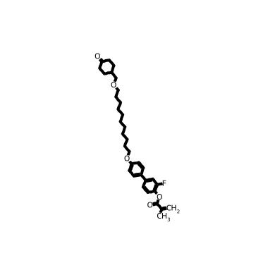 C=C(C)C(=O)Oc1ccc(-c2ccc(OCCCCCCCCCCCOCC3CCC(=O)CC3)cc2)cc1F